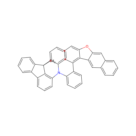 CC12c3ccccc3-c3cccc(c31)N(c1ccccc1-c1cccc3oc4cc5ccccc5cc4c13)c1ccccc12